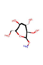 [NH]OC1O[C@H](CO)[C@@H](O)[C@H](O)[C@H]1O